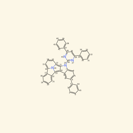 c1ccc(-c2ccc3c(c2)c2c(c4cccc5c6ccccc6c2n54)n3-c2nc(-c3ccccc3)cc(-c3ccccc3)n2)cc1